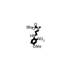 COc1ccc(NCCCN(C)C(=O)OC(C)(C)C)c([N+](=O)[O-])c1